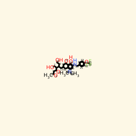 CC(=O)CC(=O)C(CO)C(CCO)CC1CC(=O)c2c(O)c(NCc3ccc(OC(F)(F)F)cc3)cc(N(C)C)c2C1